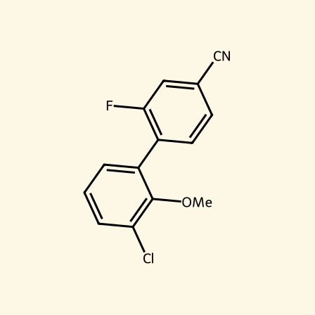 COc1c(Cl)cccc1-c1ccc(C#N)cc1F